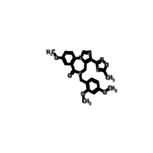 COc1ccc(CN2Cc3c(-c4noc(C)n4)ncn3-c3ccc(OC)cc3C2=O)c(OC)c1